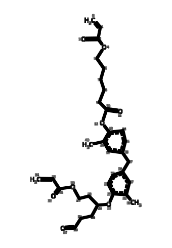 C=CC(=O)OCCCCCC(=O)Oc1ccc(Cc2ccc(OC(CCC=O)CCOC(=O)C=C)c(C)c2)cc1C